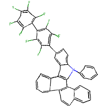 Fc1c(F)c(F)c(-c2c(F)c(F)c(-c3ccc4c(c3)c3c5ccccc5c5ccc6ccccc6c5c3n4-c3ccccc3)c(F)c2F)c(F)c1F